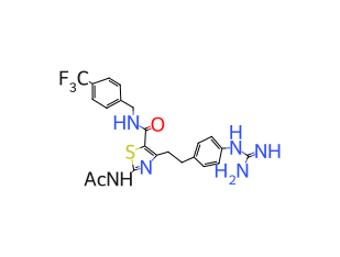 CC(=O)Nc1nc(CCc2ccc(NC(=N)N)cc2)c(C(=O)NCc2ccc(C(F)(F)F)cc2)s1